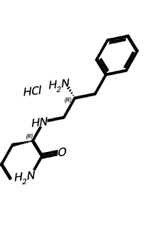 CC(C)C[C@@H](NC[C@H](N)Cc1ccccc1)C(N)=O.Cl